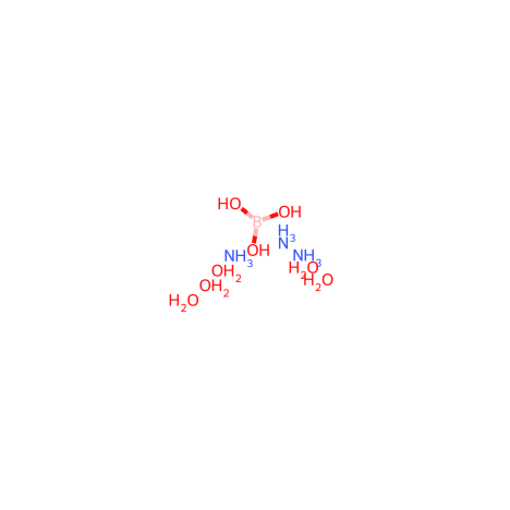 N.N.N.O.O.O.O.O.OB(O)O